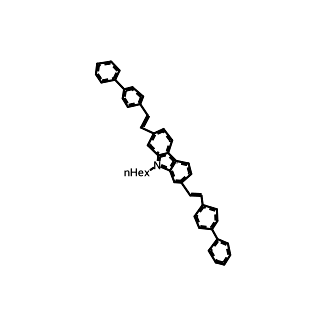 CCCCCCn1c2cc(/C=C/c3ccc(-c4ccccc4)cc3)ccc2c2ccc(/C=C/c3ccc(-c4ccccc4)cc3)cc21